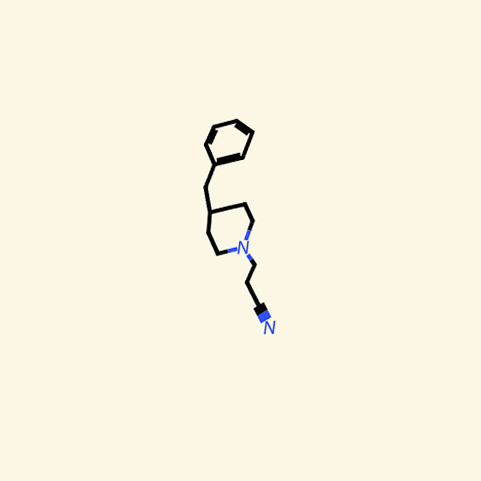 N#CCCN1CCC(Cc2ccccc2)CC1